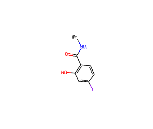 CC(C)NC(=O)c1ccc(I)cc1O